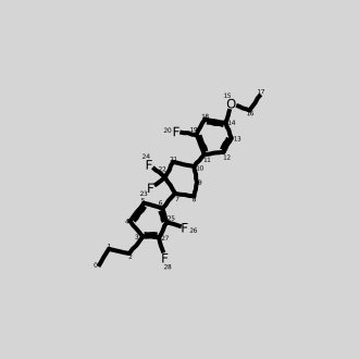 CCCc1ccc(C2CCC(c3ccc(OCC)cc3F)CC2(F)F)c(F)c1F